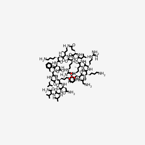 CC[C@H](C)[C@H](NC(=O)[C@H](CCCNC(=N)N)NC(=O)[C@H](CCC(N)=O)NC(=O)[C@@H](NC(=O)[C@@H](NC(=O)[C@H](CCCNC(=N)N)NC(=O)[C@H](CCCCN)NC(=O)[C@H](Cc1ccccc1)NC(=O)CN)[C@@H](C)CC)C(C)C)C(=O)N[C@@H](CCCCN)C(=O)N[C@@H](CC(=O)O)C(=O)N[C@@H](Cc1ccccc1)C(=O)N[C@@H](CC(C)C)C(=O)N[C@@H](CCCNC(=N)N)C(=O)N[C@@H](CC(N)=O)C(=O)N[C@@H](CC(C)C)C(=O)N[C@H](C(N)=O)C(C)C